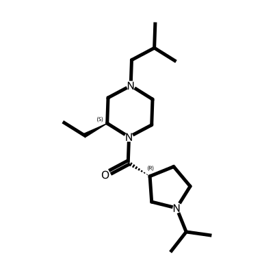 CC[C@H]1CN(CC(C)C)CCN1C(=O)[C@@H]1CCN(C(C)C)C1